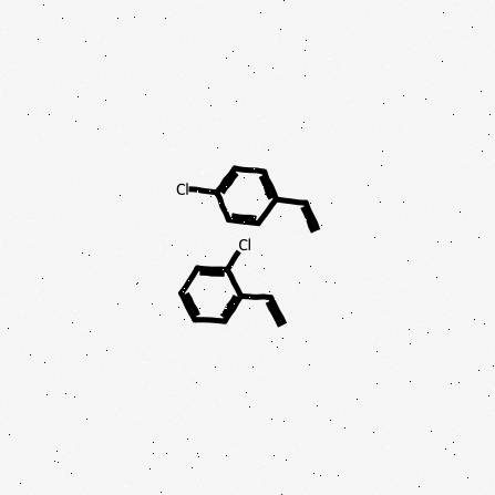 C=Cc1ccc(Cl)cc1.C=Cc1ccccc1Cl